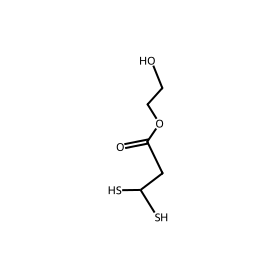 O=C(CC(S)S)OCCO